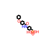 O=C(Nc1ccc(CP(=O)(O)O)cc1)c1ccc(Oc2ccccc2)cc1